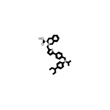 CCC(CC)c1ccc(N(Cc2ccc(-c3ccc(CN4Cc5ccccc5C[C@H]4C(=O)O)s3)cc2)C(C)C)cc1